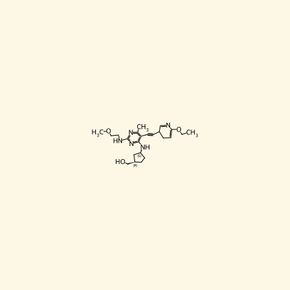 CCOC1=CCC(C#Cc2c(C)nc(NCCOC)nc2N[C@H]2CC[C@@H](CO)C2)C=N1